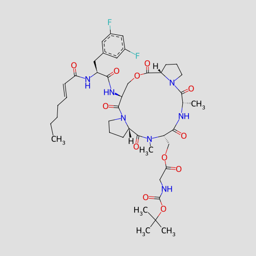 CCCC/C=C/C(=O)N[C@@H](Cc1cc(F)cc(F)c1)C(=O)N[C@H]1COC(=O)[C@@H]2CCCN2C(=O)[C@H](C)NC(=O)[C@H](COC(=O)CNC(=O)OC(C)(C)C)N(C)C(=O)[C@@H]2CCCN2C1=O